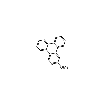 COc1cc2c3ccccc3c3ccccc3c2cn1